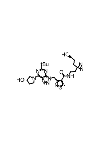 C#CCCC1(CCNC(=O)c2nonc2Cn2nnc3c(N4CC[C@H](O)C4)nc(C(C)(C)C)nc32)N=N1